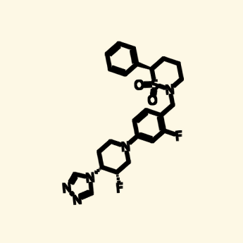 O=S1(=O)[C@@H](c2ccccc2)CCCN1Cc1ccc(N2CC[C@@H](n3cnnc3)[C@@H](F)C2)cc1F